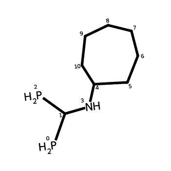 PC(P)NC1CCCCCC1